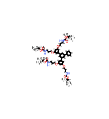 CC(C)(C)OC(=O)NCCCOc1cc(OCCCNC(=O)OC(C)(C)C)cc(-c2cc(-c3ccccc3)cc(-c3cc(OCCCNC(=O)OC(C)(C)C)cc(OCCCNC(=O)OC(C)(C)C)c3)c2)c1